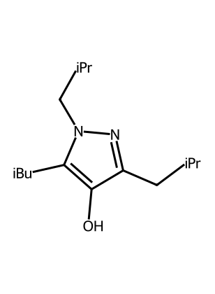 CCC(C)c1c(O)c(CC(C)C)nn1CC(C)C